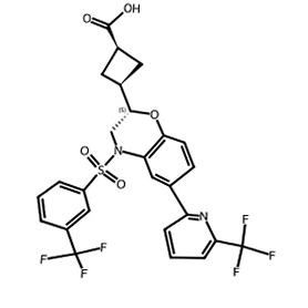 O=C(O)[C@H]1C[C@@H]([C@H]2CN(S(=O)(=O)c3cccc(C(F)(F)F)c3)c3cc(-c4cccc(C(F)(F)F)n4)ccc3O2)C1